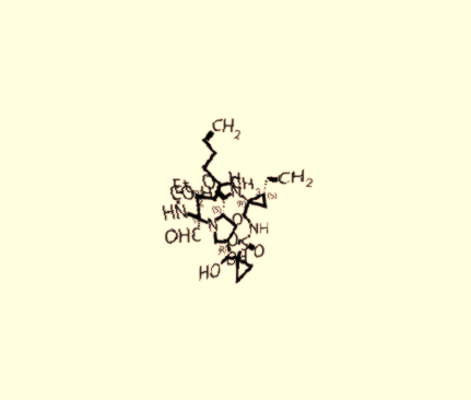 C=CCCC(C)C[C@@H](CC)[C@](C=O)(NC(=O)O)N1C[C@H](O)C[C@H]1C(=O)N[C@]1(C(=O)NS(=O)(=O)C2(CO)CC2)C[C@H]1C=C